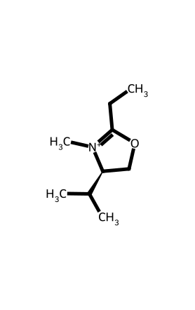 CCC1=[N+](C)[C@H](C(C)C)CO1